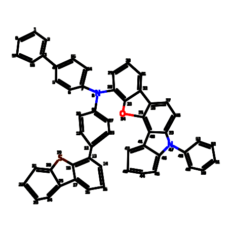 c1ccc(-c2ccc(N(c3ccc(-c4cccc5c4sc4ccccc45)cc3)c3cccc4c3oc3c4ccc4c3c3ccccc3n4-c3ccccc3)cc2)cc1